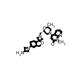 C[C@@H]1CN(c2cc(=O)n(C)c3ncccc23)C[C@H](CN2CC3(C2)OCc2cc(N4CC(N)C4)ccc23)O1